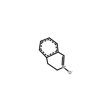 [O-][N+]1=Cc2ccccc2CC1